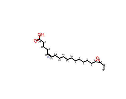 CCC1OC1CCCCCCCCCC/C=C\CCCC(=O)O